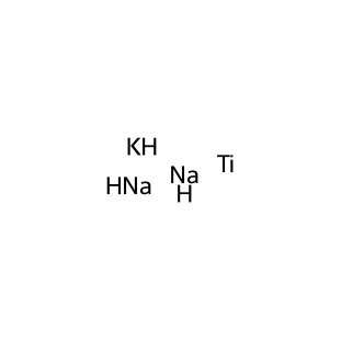 [KH].[NaH].[NaH].[Ti]